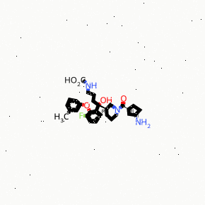 Cc1cccc(Oc2c(F)cccc2C(O)(CCCNC(=O)O)[C@@H]2CCCN(C(=O)[C@@H]3CC[C@H](N)C3)C2)c1